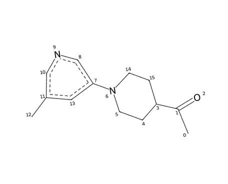 CC(=O)C1CCN(c2cncc(C)c2)CC1